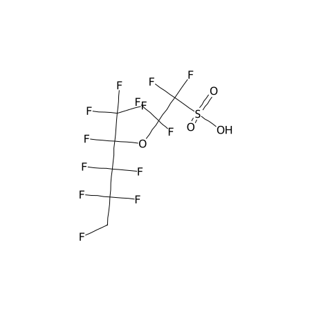 O=S(=O)(O)C(F)(F)C(F)(F)OC(F)(C(F)(F)F)C(F)(F)C(F)(F)CF